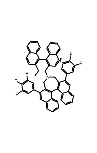 CCc1ccc2ccccc2c1-c1c(CN2Cc3c(-c4cc(F)c(F)c(F)c4)cc4ccccc4c3-c3c(c(-c4cc(F)c(F)c(F)c4)cc4ccccc34)C2)ccc2ccccc12